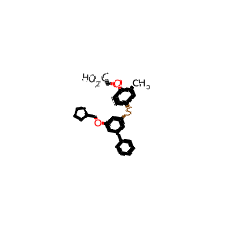 Cc1cc(Sc2cc(OCC3CCCC3)cc(-c3ccccc3)c2)ccc1OCC(=O)O